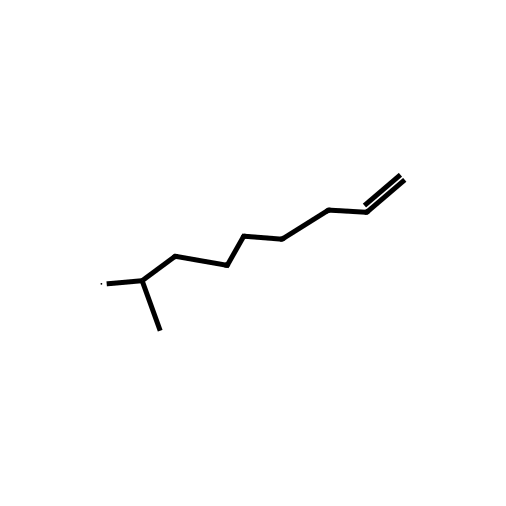 [CH2]C(C)CCCCCC=C